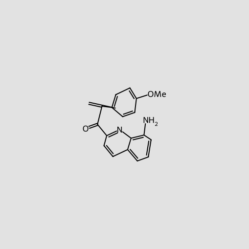 C=C(C(=O)c1ccc2cccc(N)c2n1)c1ccc(OC)cc1